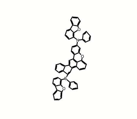 c1ccc(B(c2cc3c4cccc5c4c(cc3c3ccccc23)-c2ccc(N(c3ccccc3)c3cccc4c3oc3ccccc34)cc2O5)c2cccc3c2oc2ccccc23)cc1